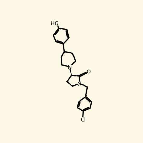 O=C1[C@H](N2CCC(c3ccc(O)cc3)CC2)CCN1Cc1ccc(Cl)cc1